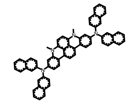 CN1c2cc(N(c3ccc4ccccc4c3)c3ccc4ccccc4c3)ccc2-c2ccc3c4c(ccc1c24)N(C)c1cc(N(c2ccc4ccccc4c2)c2ccc4ccccc4c2)ccc1-3